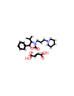 CC(C)C1C(c2ccccc2)OC(=O)N1CCCN1CCCCC1.O=C(O)C=CC(=O)O